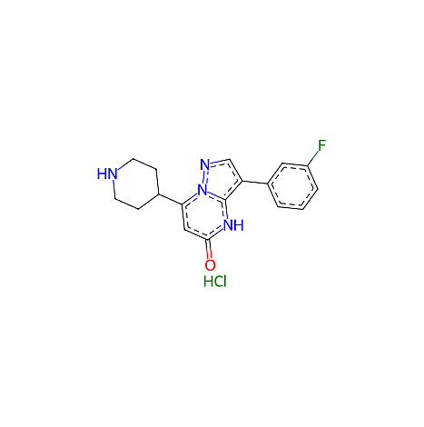 Cl.O=c1cc(C2CCNCC2)n2ncc(-c3cccc(F)c3)c2[nH]1